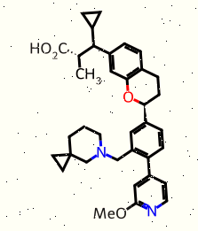 COc1cc(-c2ccc([C@@H]3CCc4ccc(C(C5CC5)[C@H](C)C(=O)O)cc4O3)cc2CN2CCCC3(CC3)C2)ccn1